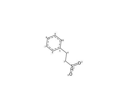 O=[SH](=O)CCc1cc[c]cc1